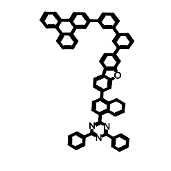 C1=Cc2c(-c3nc(-c4ccccc4)nc(-c4ccccc4)n3)ccc(-c3ccc4c(c3)oc3cc(-c5cccc(-c6cccc(-c7ccc8c9ccccc9c9ccccc9c8c7)c6)c5)ccc34)c2CC1